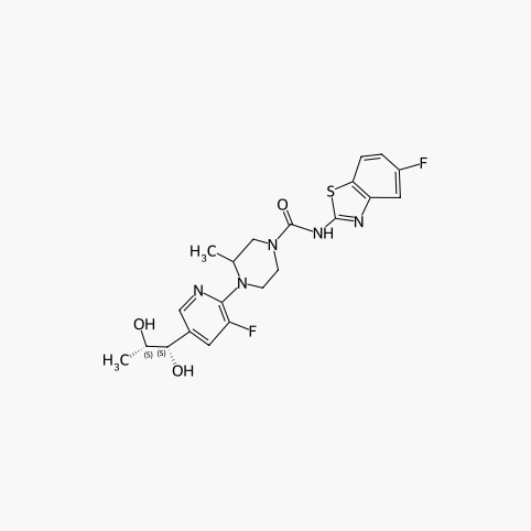 CC1CN(C(=O)Nc2nc3cc(F)ccc3s2)CCN1c1ncc([C@H](O)[C@H](C)O)cc1F